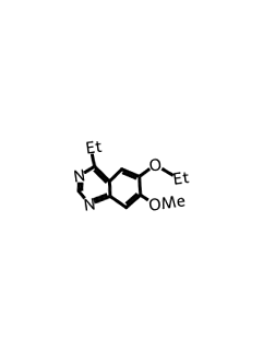 CCOc1cc2c(CC)ncnc2cc1OC